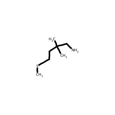 CSCCC(C)(C)CN